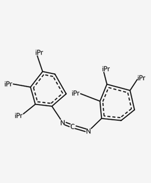 CC(C)c1ccc(N=C=Nc2ccc(C(C)C)c(C(C)C)c2C(C)C)c(C(C)C)c1C(C)C